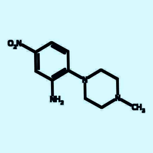 CN1CCN(c2ccc([N+](=O)[O-])cc2N)CC1